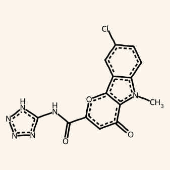 Cn1c2ccc(Cl)cc2c2oc(C(=O)Nc3nnn[nH]3)cc(=O)c21